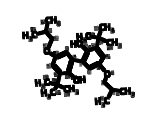 CC(C)COc1cc(-c2cc(OCC(C)C)cc(C(C)(C)C)c2O)c(O)c(C(C)(C)C)c1